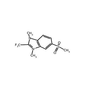 Cn1c(C(F)(F)F)[n+](C)c2cc(S(C)(=O)=O)ccc21